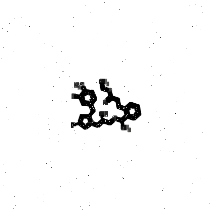 CCOC(=O)CCc1ccccc1[C@@H](C)OC[C@H](O)CN1C[C@H](F)C[C@H]1Cc1ccc(C)c(F)c1